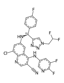 N#Cc1cnc2c(Cl)cc(N[C@@H](c3ccc(F)cc3)c3cn(CC(F)F)nn3)cc2c1Nc1cnc(F)c(F)c1